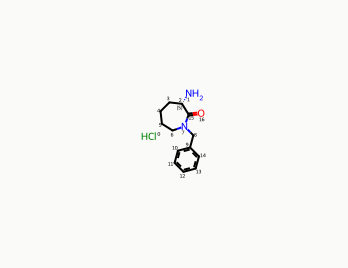 Cl.N[C@H]1CCCCN(Cc2ccccc2)C1=O